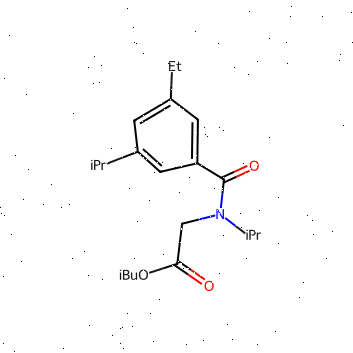 CCc1cc(C(=O)N(CC(=O)OCC(C)C)C(C)C)cc(C(C)C)c1